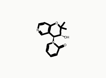 CC1(C)Oc2ccncc2[C@H](n2ccccc2=O)[C@H]1O